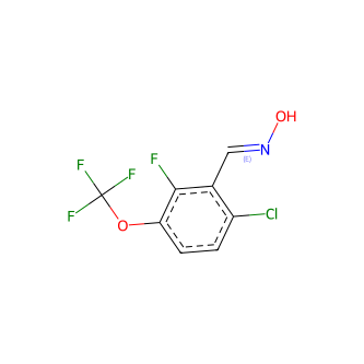 O/N=C/c1c(Cl)ccc(OC(F)(F)F)c1F